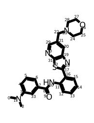 CN(C)c1cccc(C(=O)Nc2ccccc2-c2nc3cc(CN4CCOCC4)cnc3s2)c1